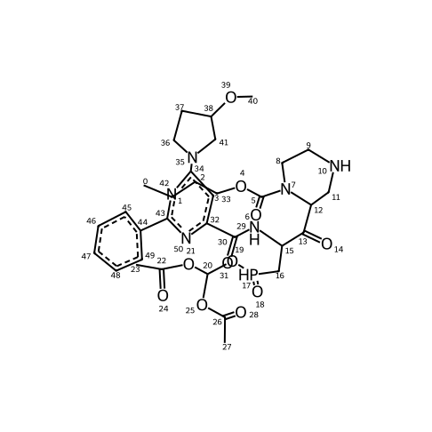 CCCCOC(=O)N1CCNCC1C(=O)C(C[PH](=O)OC(OC(C)=O)OC(C)=O)NC(=O)c1cc(N2CCC(OC)C2)nc(-c2ccccc2)n1